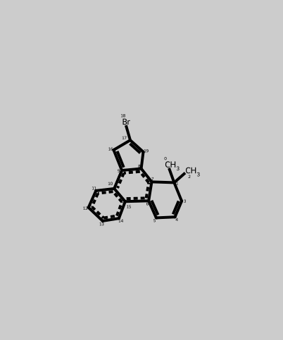 CC1(C)C=CC=c2c1c1c(c3ccccc23)=CC(Br)=C1